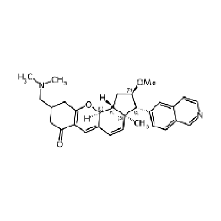 CO[C@@H]1C[C@H]2[C@@H]3OC4=C(C=C3C=C[C@]2(C)[C@H]1c1ccc2cnccc2c1)C(=O)CC(CN(C)C)C4